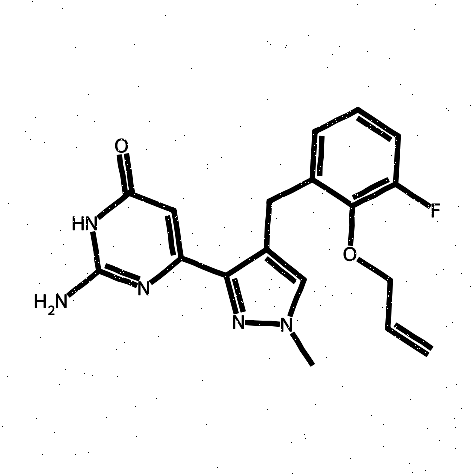 C=CCOc1c(F)cccc1Cc1cn(C)nc1-c1cc(=O)[nH]c(N)n1